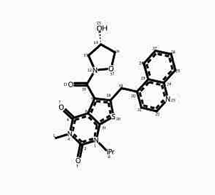 CC(C)n1c(=O)n(C)c(=O)c2c(C(=O)N3C[C@H](O)CO3)c(Cc3ccnc4ccccc34)sc21